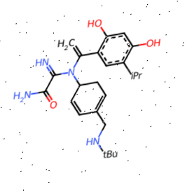 C=C(c1cc(C(C)C)c(O)cc1O)N(C(=N)C(N)=O)C1C=CC(CNC(C)(C)C)=CC1